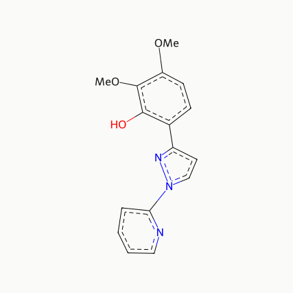 COc1ccc(-c2ccn(-c3ccccn3)n2)c(O)c1OC